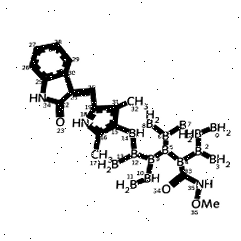 BBB(B)B(B(B(B)B)B(BB)B(B)Bc1c(C)[nH]c(/C=C2\C(=O)Nc3ccccc32)c1C)C(=O)NOC